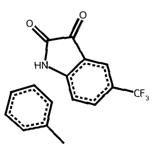 Cc1ccccc1.O=C1Nc2ccc(C(F)(F)F)cc2C1=O